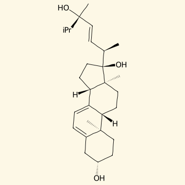 CC(C)[C@](C)(O)C=C[C@@H](C)[C@@]1(O)CC[C@H]2C3=CC=C4C[C@@H](O)CC[C@]4(C)[C@H]3CC[C@@]21C